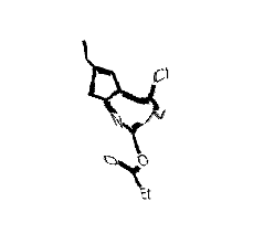 CCC(=O)Oc1nc(Cl)c2cc(C)ccc2n1